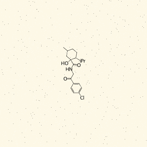 CC1CCC(C(C)C)C(O)(C(=O)NCC(=O)c2ccc(Cl)cc2)C1